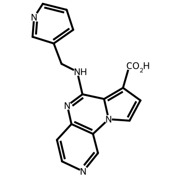 O=C(O)c1ccn2c1c(NCc1cccnc1)nc1ccncc12